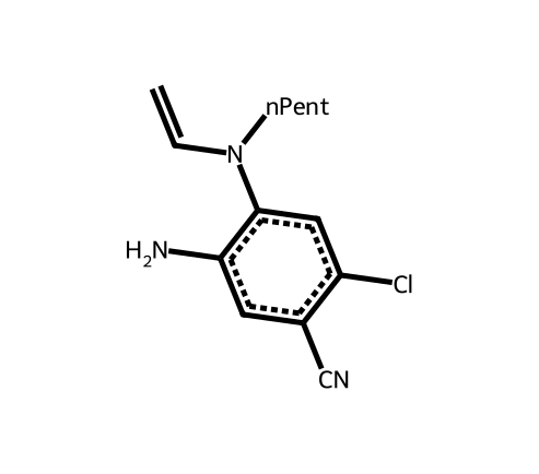 C=CN(CCCCC)c1cc(Cl)c(C#N)cc1N